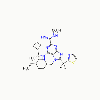 C=C[C@H]1CC[C@H](Cn2c(C3(c4nccs4)CC3)nc3nc(C(=N)NC(=O)O)nc(N[C@H](C)C4CCC4)c32)CC1